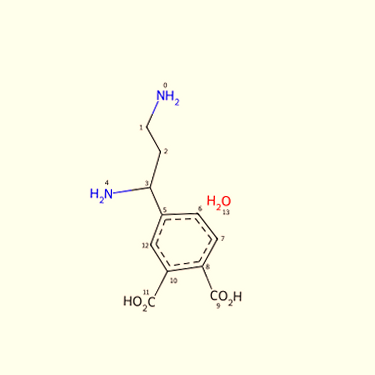 NCCC(N)c1ccc(C(=O)O)c(C(=O)O)c1.O